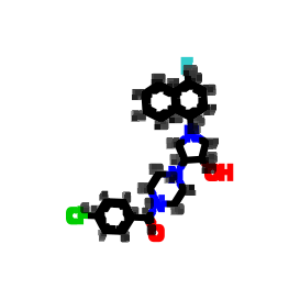 O=C(c1ccc(Cl)cc1)N1CCN(C2CN(c3ccc(F)c4ccccc34)CC2O)CC1